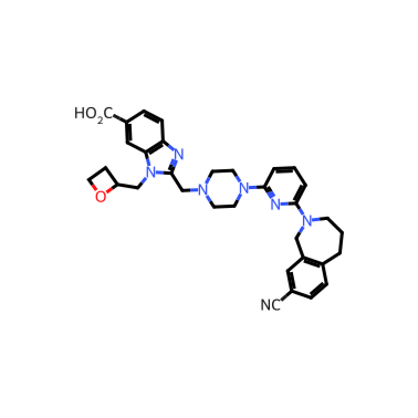 N#Cc1ccc2c(c1)CN(c1cccc(N3CCN(Cc4nc5ccc(C(=O)O)cc5n4CC4CCO4)CC3)n1)CCC2